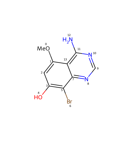 COc1cc(O)c(Br)c2ncnc(N)c12